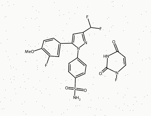 COc1ccc(-c2cc(C(F)F)nn2-c2ccc(S(N)(=O)=O)cc2)cc1F.O=c1ccn(F)c(=O)[nH]1